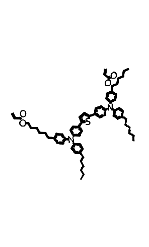 C=CC(=O)OCCCCCCc1ccc(N(c2ccc(CCCCCC)cc2)c2ccc(-c3ccc(-c4ccc(N(c5ccc(CCCCCC)cc5)c5ccc(C(CCCCC)OC(=O)C=C)cc5)cc4)s3)cc2)cc1